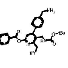 CC(C)Cc1nc(OC(=O)c2ccccc2)cc(-c2ccc(CN)cc2)c1CNC(=O)OC(C)(C)C